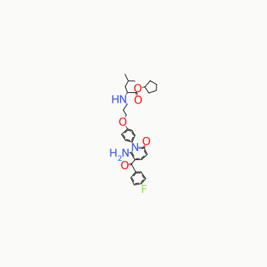 CC(C)CC(NCCCOc1ccc(-n2c(N)c(C(=O)c3ccc(F)cc3)ccc2=O)cc1)C(=O)OC1CCCC1